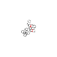 CC1(C)c2ccccc2-c2ccc(N(c3ccc4c(c3)C(c3ccccc3)(c3ccccc3)c3ccccc3-4)c3ccccc3-c3cccc4cccc(C5CCCCC5)c34)cc21